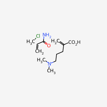 C=C(CCCN(C)C)C(=O)O.C=CC(N)=O.CCl